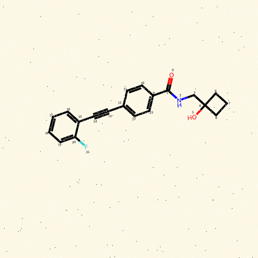 O=C(NCC1(O)CCC1)c1ccc(C#Cc2ccccc2F)cc1